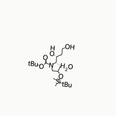 CC(C)(C)OC(=O)N1C[C@H](O[Si](C)(C)C(C)(C)C)C[C@H]1[C@H](O)CCO.O